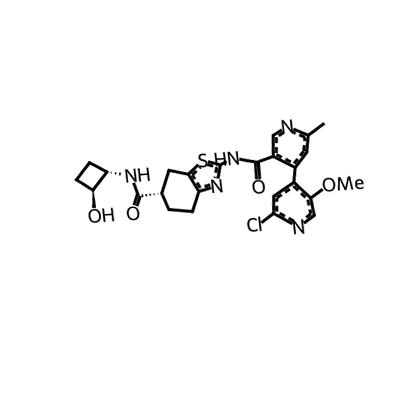 COc1cnc(Cl)cc1-c1cc(C)ncc1C(=O)Nc1nc2c(s1)C[C@@H](C(=O)N[C@H]1CC[C@@H]1O)CC2